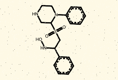 O=S(=O)(CC(NO)c1ccccc1)C1CNCCN1c1ccccc1